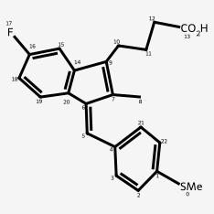 CSc1ccc(C=C2C(C)=C(CCCC(=O)O)c3cc(F)ccc32)cc1